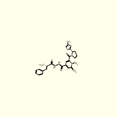 C=C1C=C(C(=O)NNC(=O)[C@@H](C)Cc2ccccc2)C=C(C(=O)N2CCC[C@@H]2c2nc(C)cs2)N1C